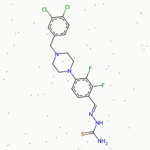 NC(=S)NN=Cc1ccc(N2CCN(Cc3ccc(Cl)c(Cl)c3)CC2)c(F)c1F